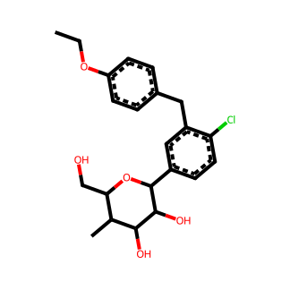 CCOc1ccc(Cc2cc(C3OC(CO)C(C)C(O)C3O)ccc2Cl)cc1